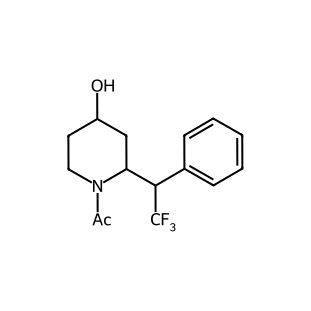 CC(=O)N1CCC(O)CC1C(c1ccccc1)C(F)(F)F